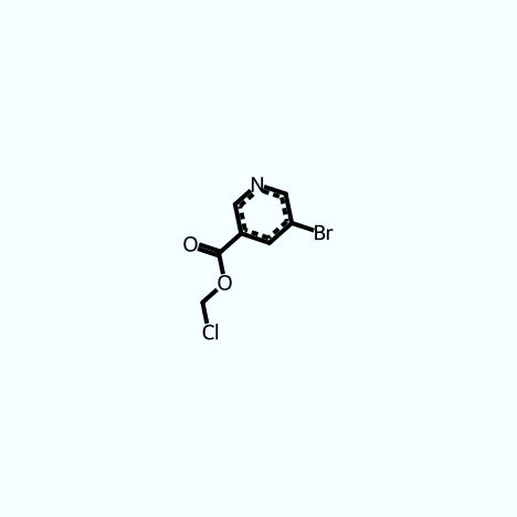 O=C(OCCl)c1cncc(Br)c1